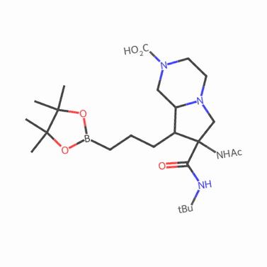 CC(=O)NC1(C(=O)NC(C)(C)C)CN2CCN(C(=O)O)CC2C1CCCB1OC(C)(C)C(C)(C)O1